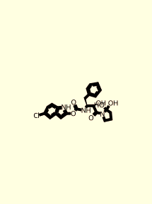 O=C(N[C@@H](Cc1ccccc1)[C@@H](O)C(=O)N1CCCC1(O)O)Oc1cc2cc(Cl)ccc2[nH]1